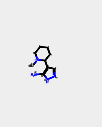 CC(C)(C)N1CCCCC1c1cn[nH]c1N